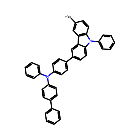 CC(C)(C)c1ccc2c(c1)c1cc(-c3ccc(N(c4ccccc4)c4ccc(-c5ccccc5)cc4)cc3)ccc1n2-c1ccccc1